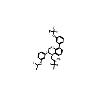 O[C@@H](CN1c2cccc(-c3cccc(OC(F)(F)F)c3)c2OC[C@@H]1c1cccc(OC(F)F)c1)C(F)(F)F